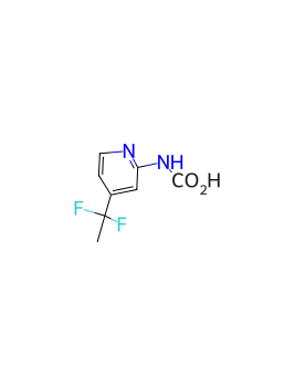 CC(F)(F)c1ccnc(NC(=O)O)c1